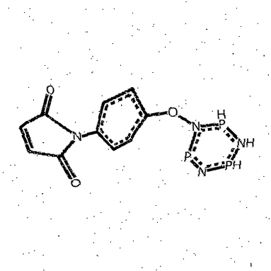 O=C1C=CC(=O)N1c1ccc(On2pn[pH][nH][pH]2)cc1